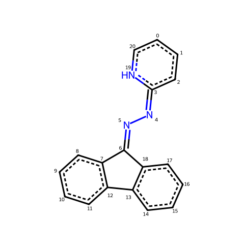 c1cc/c(=N/N=C2c3ccccc3-c3ccccc32)[nH]c1